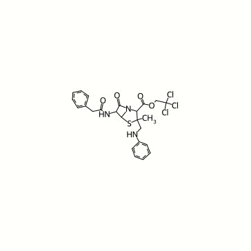 CC1(CNc2ccccc2)SC2C(NC(=O)Cc3ccccc3)C(=O)N2C1C(=O)OCC(Cl)(Cl)Cl